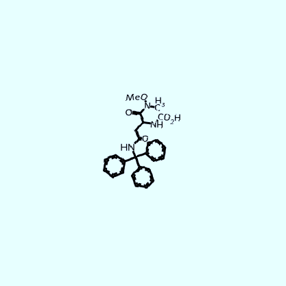 CON(C)C(=O)C(CC(=O)NC(c1ccccc1)(c1ccccc1)c1ccccc1)NC(=O)O